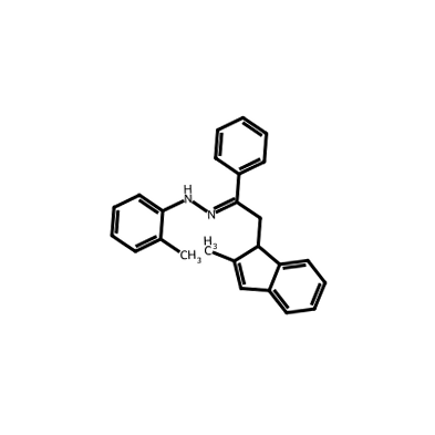 CC1=Cc2ccccc2C1CC(=NNc1ccccc1C)c1ccccc1